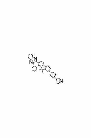 CC1(C)c2cc(-c3ccc(-c4cccnc4)cc3)ccc2-c2ccc(-c3nc4ccccc4nc3-c3ccccc3)cc21